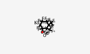 O=S(=O)([O-])C1(C(F)(F)F)C(F)(F)C(F)(F)C(F)(F)C(F)(F)C1(F)C(F)(F)F.[K+]